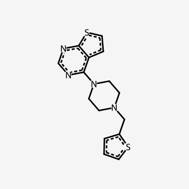 c1csc(CN2CCN(c3ncnc4sccc34)CC2)c1